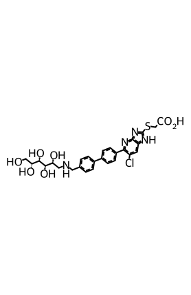 O=C(O)CSc1nc2nc(-c3ccc(-c4ccc(CNC[C@H](O)[C@@H](O)[C@H](O)[C@H](O)CO)cc4)cc3)c(Cl)cc2[nH]1